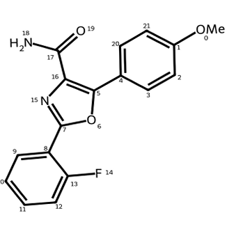 COc1ccc(-c2oc(-c3ccccc3F)nc2C(N)=O)cc1